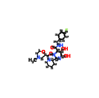 CN1CCOC(C(=O)N2CCCCC2c2nc(O)c(O)c(C(=O)NCc3ccc(F)cc3)n2)C1